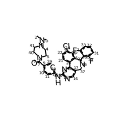 CN(C)N1CCN(C(=O)c2ccc(Nc3ncc4c(n3)-c3ccc(Cl)cc3C(c3c(F)cccc3F)=NC4)cc2)CC1